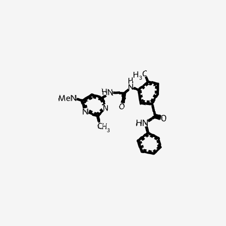 CNc1cc(NC(=O)Nc2cc(C(=O)Nc3ccccc3)ccc2C)nc(C)n1